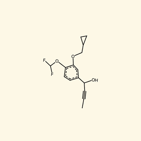 CC#CC(O)c1ccc(OC(F)F)c(OCC2CC2)c1